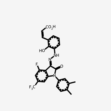 Cc1ccc(N2C(=O)C(=NNc3cccc(/C=C\C(=O)O)c3O)c3c(F)cc(C(F)(F)F)cc32)cc1C